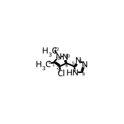 Cc1c(Cl)c(-c2nnc[nH]2)nn1C